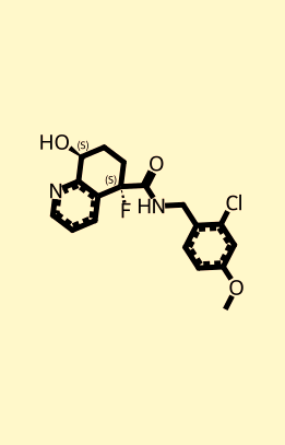 COc1ccc(CNC(=O)[C@]2(F)CC[C@H](O)c3ncccc32)c(Cl)c1